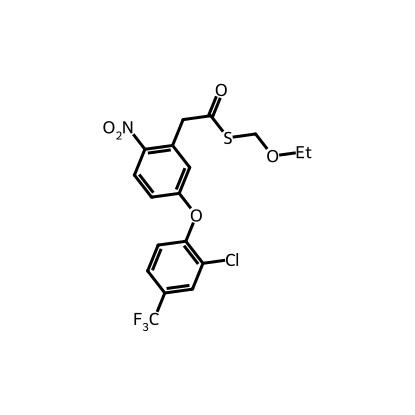 CCOCSC(=O)Cc1cc(Oc2ccc(C(F)(F)F)cc2Cl)ccc1[N+](=O)[O-]